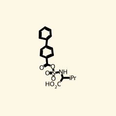 CC(C)C(NS(=O)(=O)OC(=O)c1ccc(-c2ccccc2)cc1)C(=O)O